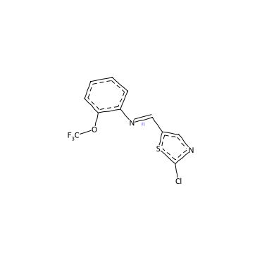 FC(F)(F)Oc1ccccc1/N=C/c1cnc(Cl)s1